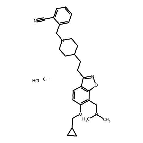 CN(C)Cc1c(OCC2CC2)ccc2c(CCC3CCN(Cc4ccccc4C#N)CC3)noc12.Cl.Cl